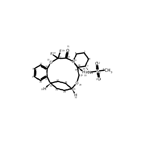 CS(=O)(=O)N[C@H]1CCCN2C(=O)C(F)(F)Oc3ccccc3[C@H]3CC[C@H](CC3)OC[C@@H]12